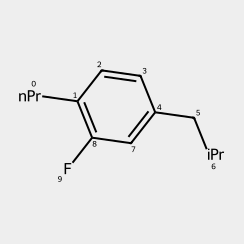 CCCc1ccc(CC(C)C)cc1F